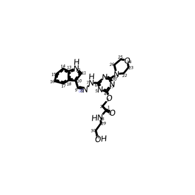 O=C(COc1nc(N/N=C\c2c[nH]c3ccccc23)nc(N2CCOCC2)n1)NCCO